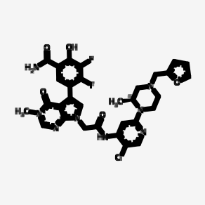 C[C@H]1CN(Cc2ccco2)CCN1c1cc(NC(=O)Cn2cc(-c3cc(C(N)=O)c(O)c(F)c3F)c3c(=O)n(C)cnc32)c(Cl)cn1